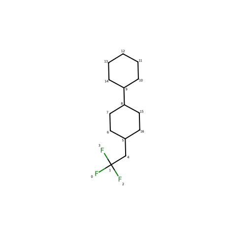 FC(F)(F)CC1CCC(C2CCCCC2)CC1